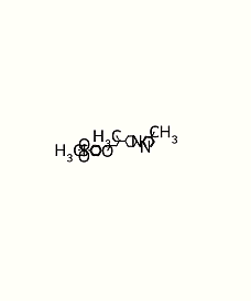 Cc1ccnc(N2CCC([C@H](C)CCOc3ccc(S(C)(=O)=O)cc3)CC2)c1